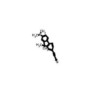 CN(C)c1ccc2c(c1)C(C)(C)c1cc(C#CC#N)ccc1-2